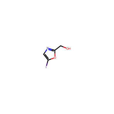 OCc1ncc(I)o1